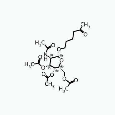 CC(=O)CCCCO[C@@H]1O[C@H](COC(C)=O)[C@H](OC(C)=O)[C@H](OC(C)=O)[C@H]1NC(C)=O